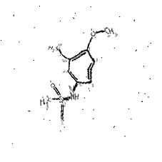 COc1ccc(NS(C)(=O)=O)cc1[SiH3]